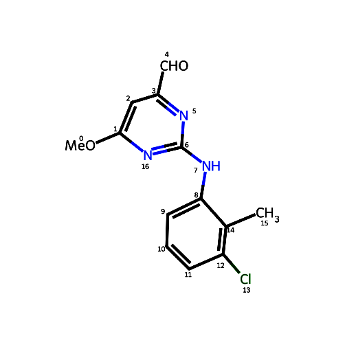 COc1cc(C=O)nc(Nc2cccc(Cl)c2C)n1